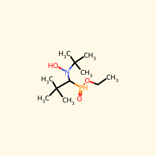 CCO[PH](=O)C(N(O)C(C)(C)C)C(C)(C)C